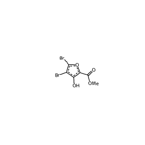 COC(=O)c1oc(Br)c(Br)c1O